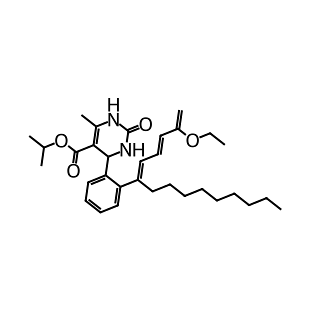 C=C(C=CC=C(CCCCCCCCC)c1ccccc1C1NC(=O)NC(C)=C1C(=O)OC(C)C)OCC